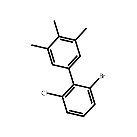 Cc1cc(-c2c(Cl)cccc2Br)cc(C)c1C